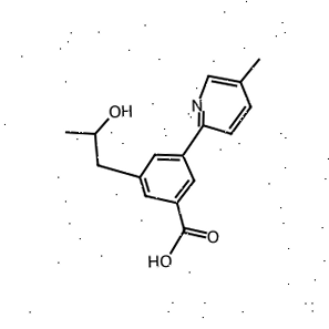 Cc1ccc(-c2cc(CC(C)O)cc(C(=O)O)c2)nc1